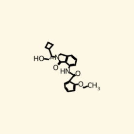 CCOc1ccccc1C(=O)Nc1cccc2c1C(=O)N([C@H](CO)C1CCC1)C2